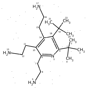 CC(C)(C)c1nc(CCN)c(CCN)c(CCN)c1C(C)(C)C